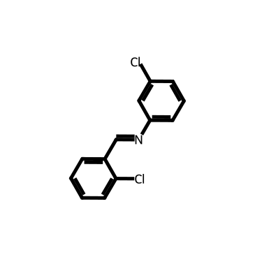 Clc1cccc(N=Cc2ccccc2Cl)c1